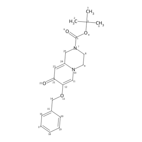 CC(C)(C)OC(=O)N1CCn2cc(OCc3ccccc3)c(=O)cc2C1